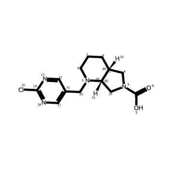 O=C(O)N1C[C@H]2CCCN(Cc3cnc(Cl)nc3)[C@H]2C1